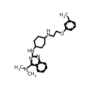 Cc1cccc(OCCNC2CCC(Nc3nc(N(C)C)c4ccccc4n3)CC2)c1